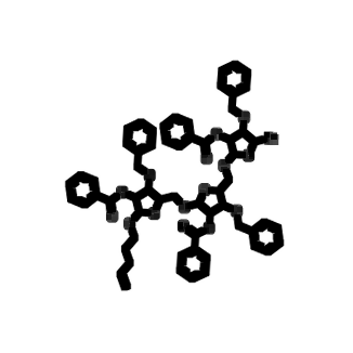 C=CCCCOC1OC(COC2OC(COC3OC(CC)C(OCc4ccccc4)C3OC(=O)c3ccccc3)C(OCc3ccccc3)C2OC(=O)c2ccccc2)C(OCc2ccccc2)C1OC(=O)c1ccccc1